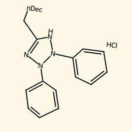 CCCCCCCCCCCC1=NN(c2ccccc2)N(c2ccccc2)N1.Cl